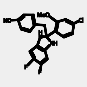 COc1cc(Cl)ccc1C1(Cc2ccc(C#N)cc2)Nc2cc(F)c(F)cc2N1